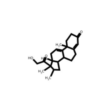 CC1CC2C3CCC4=CC(=O)CCC4(C)C3=CCC2(C)C1(C)C(=O)CO